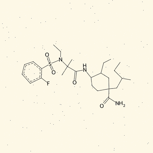 CCC(C)CC1(C(N)=O)CCC(NC(=O)C(C)(C)N(CC)S(=O)(=O)c2ccccc2F)C(CC)C1